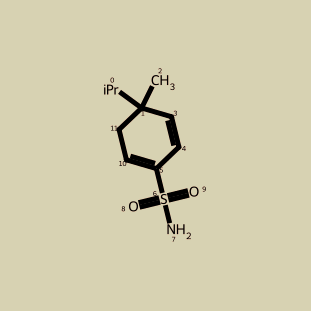 CC(C)C1(C)C=CC(S(N)(=O)=O)=CC1